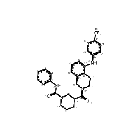 O=C(Nc1ccccn1)N1CCCC(C(=O)N2CCc3c(cccc3Nc3ccc(C(F)(F)F)nc3)C2)C1